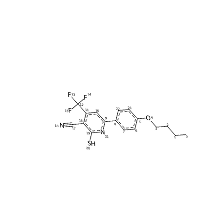 CCCCOc1ccc(-c2cc(C(F)(F)F)c(C#N)c(S)n2)cc1